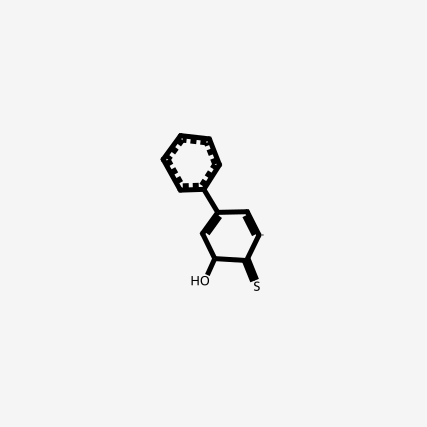 OC1C=C(c2ccccc2)C=[C]C1=S